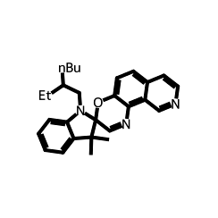 CCCCC(CC)CN1c2ccccc2C(C)(C)C12C=Nc1c(ccc3ccncc13)O2